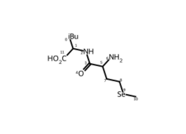 CCC(C)C(NC(=O)C(N)CC[Se]C)C(=O)O